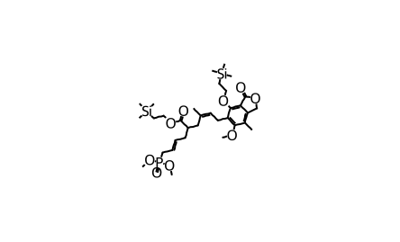 COc1c(C)c2c(c(OCC[Si](C)(C)C)c1CC=C(C)CC(CC=CCP(=O)(OC)OC)C(=O)OCC[Si](C)(C)C)C(=O)OC2